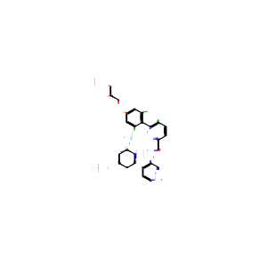 C[C@@H]1C[C@H](N)C[C@H](c2ccncc2NC(=O)c2ccc(F)c(-c3c(F)cc(OC[C@@H](O)CO)cc3F)n2)C1